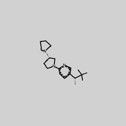 C[C@H](c1ccc(N2CC[C@H](N3CCCC3)C2)nc1)C(C)(C)C